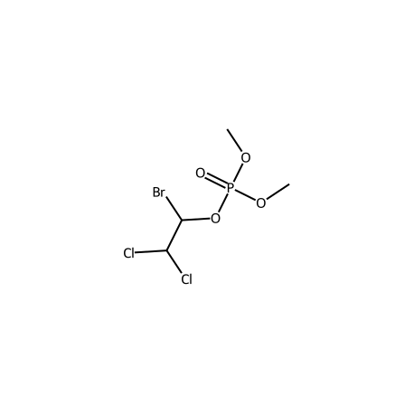 COP(=O)(OC)OC(Br)C(Cl)Cl